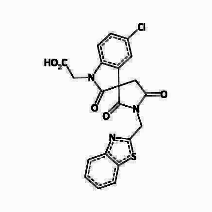 O=C(O)CN1C(=O)C2(CC(=O)N(Cc3nc4ccccc4s3)C2=O)c2cc(Cl)ccc21